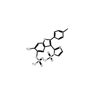 O=[N+]([O-])c1cc2oc(-c3ccc(F)cc3)c(-c3nccn3S(=O)(=O)C(F)(F)F)c2cc1OS(=O)(=O)C(F)(F)F